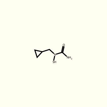 NC(=O)N(S)CC1CC1